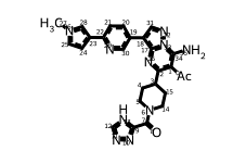 CC(=O)c1c(C2CCN(C(=O)c3nnc[nH]3)CC2)nc2c(-c3ccc(-c4ccn(C)c4)nc3)cnn2c1N